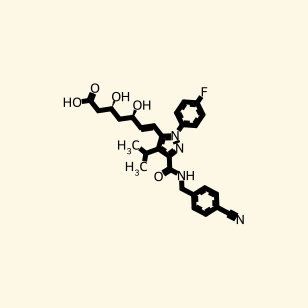 CC(C)c1c(C(=O)NCc2ccc(C#N)cc2)nn(-c2ccc(F)cc2)c1C=C[C@H](O)C[C@@H](O)CC(=O)O